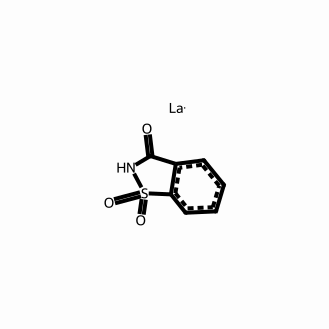 O=C1NS(=O)(=O)c2ccccc21.[La]